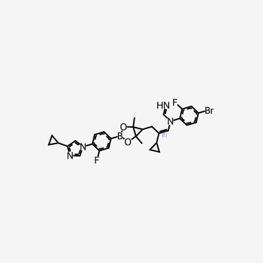 CC12OB(c3ccc(-n4cnc(C5CC5)c4)c(F)c3)OC1(C)C2C/C(=C\N(C=N)c1ccc(Br)cc1F)C1CC1